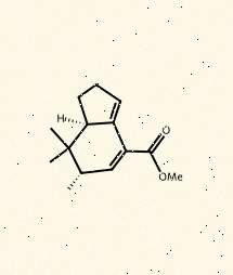 COC(=O)C1=C[C@H](C)C(C)(C)[C@H]2CCC=C12